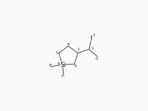 CC(I)C1CC[Si](C)(C)C1